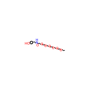 CCCOCCOCCOCCOCCOCCOCCC(=O)NCCc1ccc(O)cc1